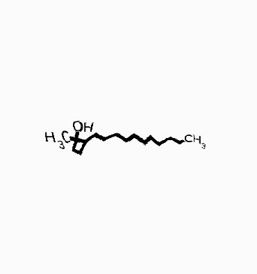 CCCCCCCCCCCC1CCC1(C)O